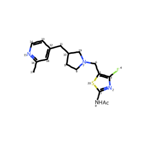 CC(=O)Nc1nc(F)c(CN2CCC(Cc3ccnc(C)c3)C2)s1